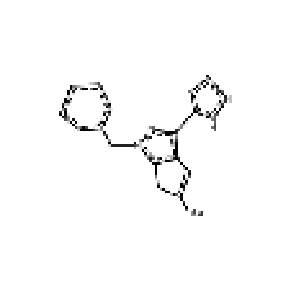 CCCCC1=Cc2c(-c3nnn[nH]3)nn(Cc3ccccc3)c2C1